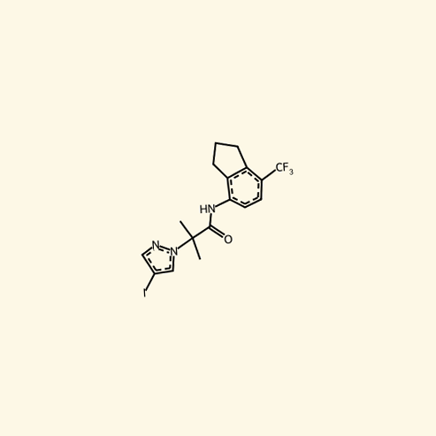 CC(C)(C(=O)Nc1ccc(C(F)(F)F)c2c1CCC2)n1cc(I)cn1